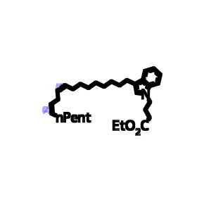 CCCCC/C=C\C/C=C\CCCCCCCCc1cn(CCCC(=O)OCC)c2ccccc12